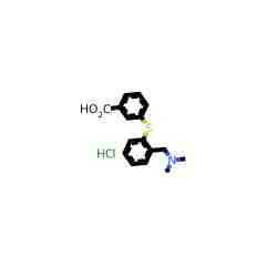 CN(C)Cc1ccccc1Sc1cccc(C(=O)O)c1.Cl